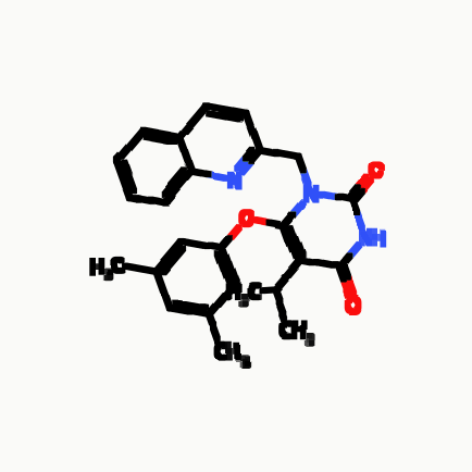 Cc1cc(C)cc(Oc2c(C(C)C)c(=O)[nH]c(=O)n2Cc2ccc3ccccc3n2)c1